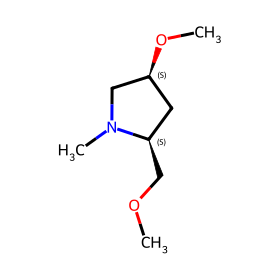 COC[C@@H]1C[C@H](OC)CN1C